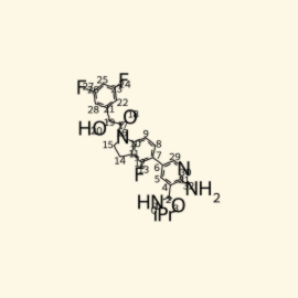 CC(C)NC(=O)c1cc(-c2ccc3c(c2F)CCN3C(=O)[C@H](O)c2cc(F)cc(F)c2)cnc1N